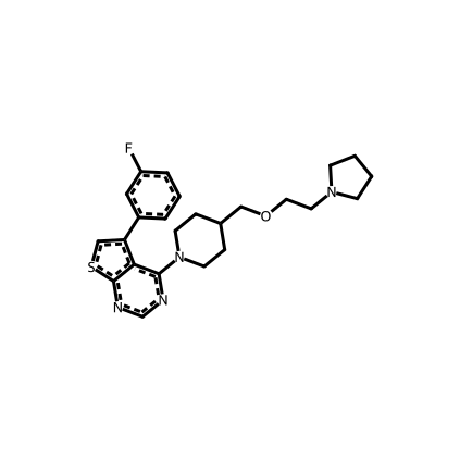 Fc1cccc(-c2csc3ncnc(N4CCC(COCCN5CCCC5)CC4)c23)c1